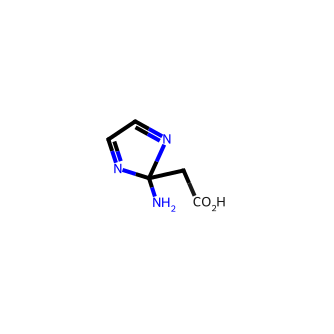 NC1(CC(=O)O)N=CC=N1